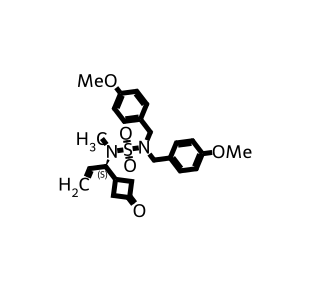 C=C[C@@H](C1CC(=O)C1)N(C)S(=O)(=O)N(Cc1ccc(OC)cc1)Cc1ccc(OC)cc1